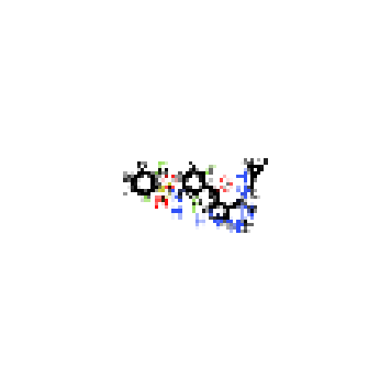 O=C(c1c(F)ccc(NS(=O)(=O)c2c(F)cccc2F)c1F)c1c[nH]c2ncnc(NCC3CC3)c12